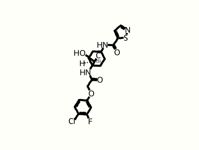 O=C(COc1ccc(Cl)c(F)c1)NC12CCC(NC(=O)c3ccns3)(CC1)C[C@@H]2O